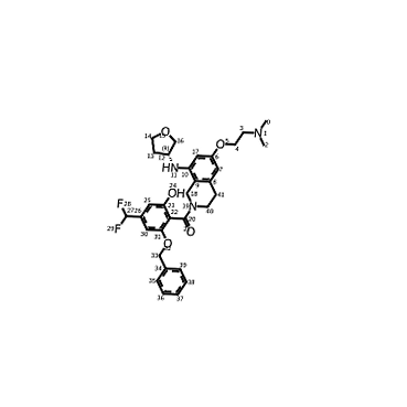 CN(C)CCOc1cc2c(c(N[C@@H]3CCOC3)c1)CN(C(=O)c1c(O)cc(C(F)F)cc1OCc1ccccc1)CC2